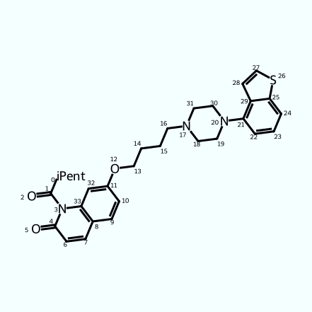 CCCC(C)C(=O)n1c(=O)ccc2ccc(OCCCCN3CCN(c4cccc5sccc45)CC3)cc21